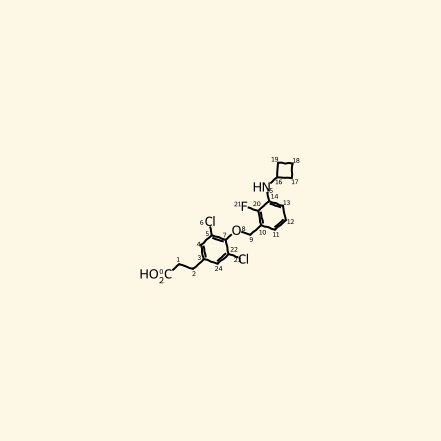 O=C(O)CCc1cc(Cl)c(OCc2cccc(NC3CCC3)c2F)c(Cl)c1